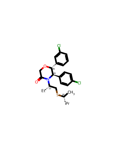 CC[C@@H](CS[C@H](C)C(C)C)N1C(=O)CO[C@H](c2cccc(Cl)c2)[C@H]1c1ccc(Cl)cc1